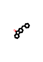 O=C1c2ccccc2-c2ccc(Cc3ccccc3)cc21